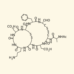 CC(=O)NC(C)C(=O)NC1CSSCC(C=O)NC(=O)C(Cc2ccccc2)NC(=O)C2CSSCC(NC(=O)C(CC(=O)O)NC1=O)C(=O)NC(CCCN)C(=O)NCC(=O)NC(CC(=O)O)C(=O)N2